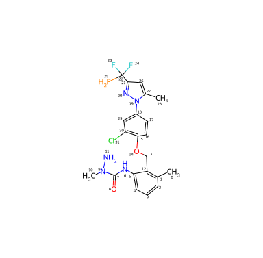 Cc1cccc(NC(=O)N(C)N)c1COc1ccc(-n2nc(C(F)(F)P)cc2C)cc1Cl